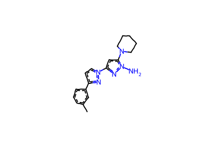 Cc1cccc(-c2ccn(-c3cc(N4CCCCC4)n(N)n3)n2)c1